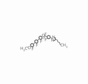 CCCCCc1cnc(-c2ccc(C(F)(F)Oc3ccc(-c4ccc(-c5ccc(OCC)c(F)c5)c(F)c4)c(F)c3)c(F)c2)nc1